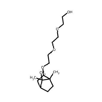 CC1(C)C2CCC1(C)C(OCCOCCOCCO)C2